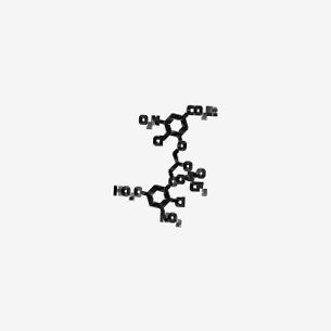 CCOC(=O)c1cc(OC[C@H](COc2cc(C(=O)O)cc([N+](=O)[O-])c2Cl)OS(=O)(=O)C(F)(F)F)c(Cl)c([N+](=O)[O-])c1